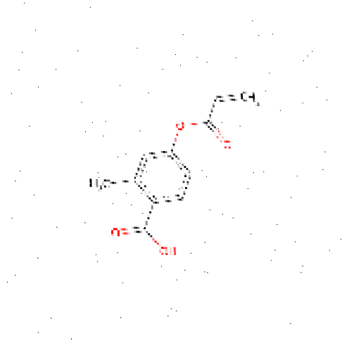 C=CC(=O)Oc1ccc(C(=O)O)c(C)c1